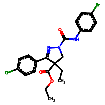 CCOC(=O)C1(CC)CN(C(=O)Nc2ccc(Br)cc2)N=C1c1ccc(Cl)cc1